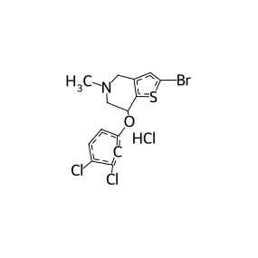 CN1Cc2cc(Br)sc2C(Oc2ccc(Cl)c(Cl)c2)C1.Cl